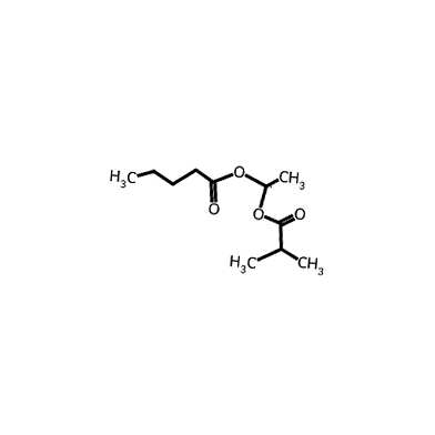 CCCCC(=O)O[C](C)OC(=O)C(C)C